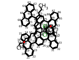 CCCCCCCC1=Cc2c(-c3c4ccccc4cc4ccccc34)ccc(-c3c4ccccc4cc4ccccc34)c2[CH]1[Zr]([Cl])([Cl])([CH]1C(CCCCCCC)=Cc2c(-c3c4ccccc4cc4ccccc34)ccc(-c3c4ccccc4cc4ccccc34)c21)[SiH](C)C